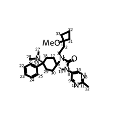 COC1(CCN2C(=O)N(c3cnc(C)nc3)C[C@]23CC[C@](c2ccccc2)(N(C)C)CC3)CCC1